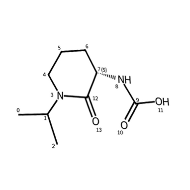 CC(C)N1CCC[C@H](NC(=O)O)C1=O